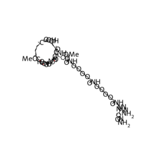 CO[C@H]1C[C@@H]2CC[C@@H](C)[C@@](O)(O2)C(=O)C(=O)N2CCCC[C@H]2C(=O)O[C@H]([C@H](N)C[C@@H]2CC[C@@H](OC(=O)NCCOCCOCCOCCOCCC(=O)NCCOCCOCCOCCOCCC(=O)NCCn3nc(-c4ccc5oc(N)nc5c4)c4c(N)ncnc43)[C@H](OC)C2)CC(=O)[C@H](C)/C=C(\C)[C@@H](O)[C@@H](O)C(=O)[C@H](C)C[C@H](C)/C=C/C=C/C=C/1C